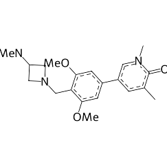 CNC1CN(Cc2c(OC)cc(-c3cc(C)c(=O)n(C)c3)cc2OC)C1